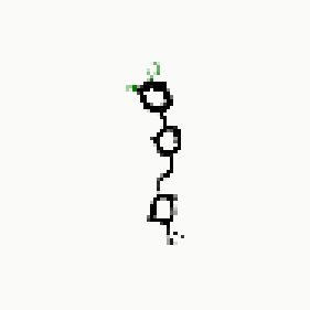 CCC[C@H]1CC[C@H](CCC2CCC(c3ccc(Cl)c(F)c3)CC2)CC1